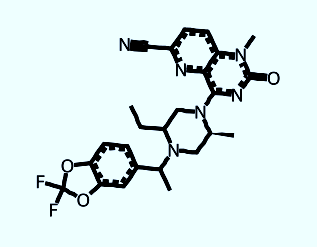 CCC1CN(c2nc(=O)n(C)c3ccc(C#N)nc23)[C@@H](C)CN1C(C)c1ccc2c(c1)OC(F)(F)O2